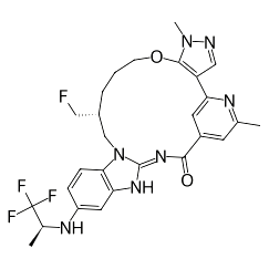 Cc1cc2cc(n1)-c1cnn(C)c1OCCC[C@@H](CF)CN1/C(=N/C2=O)Nc2cc(N[C@@H](C)C(F)(F)F)ccc21